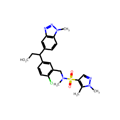 Cc1c(S(=O)(=O)N(C)Cc2cc(C(CC(=O)O)c3ccc4c(c3)nnn4C)ccc2Cl)cnn1C